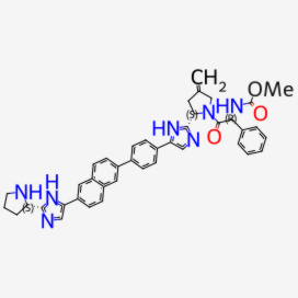 C=C1C[C@@H](c2ncc(-c3ccc(-c4ccc5cc(-c6cnc([C@@H]7CCCN7)[nH]6)ccc5c4)cc3)[nH]2)N(C(=O)[C@H](NC(=O)OC)c2ccccc2)C1